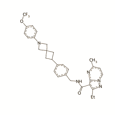 CCc1nn2ccc(C)nc2c1C(=O)NCc1ccc(C2CC3(C2)CN(c2ccc(OC(F)(F)F)cc2)C3)cc1